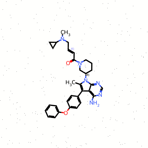 Cc1c(-c2ccc(Oc3ccccc3)cc2)c2c(N)ncnc2n1[C@@H]1CCCN(C(=O)/C=C/CN(C)C2CC2)C1